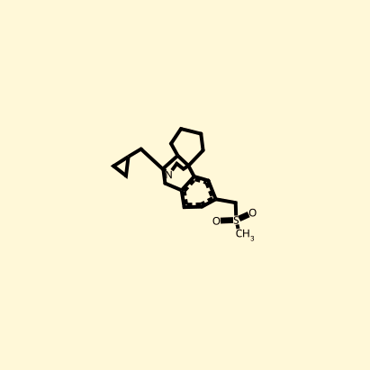 CS(=O)(=O)Cc1ccc2c(c1)C13CCCCC1C(C2)N(CC1CC1)CC3